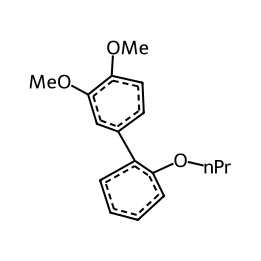 [CH2]CCOc1ccccc1-c1ccc(OC)c(OC)c1